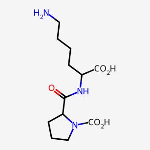 NCCCCC(NC(=O)C1CCCN1C(=O)O)C(=O)O